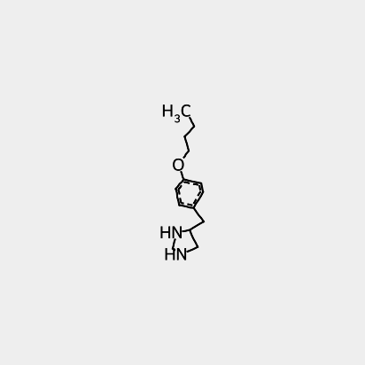 CCCCOc1ccc(CC2CNCN2)cc1